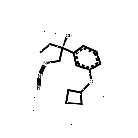 CC[C@@](O)(CN=[N+]=[N-])c1cccc(OC2CCC2)c1